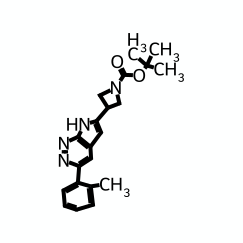 Cc1ccccc1-c1cc2cc(C3CN(C(=O)OC(C)(C)C)C3)[nH]c2nn1